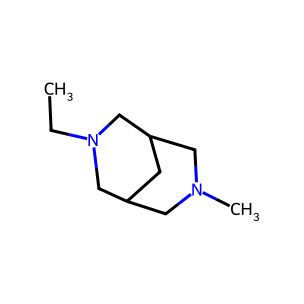 CCN1CC2CC(CN(C)C2)C1